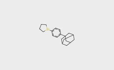 c1cc(C23CC4CC(CC(C4)C2)C3)ccc1[S+]1CCCC1